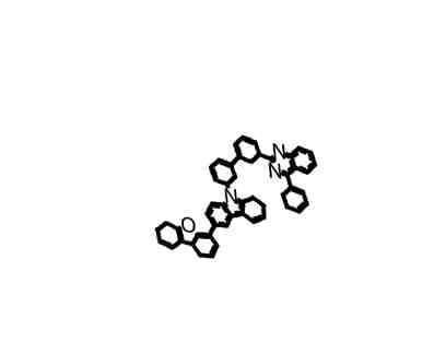 C1=CCCC(c2nc(C3C=CC=C(C4=CC=CC(n5c6c(c7cc(C8=C9OC%10=C(C=CCC%10)C9CC=C8)ccc75)C=CCC6)C4)C3)nc3ccccc23)=C1